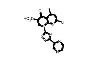 Cc1cc(Cl)nc2c1c(=O)c(C(=O)O)cn2-c1nc(-c2cnccn2)ns1